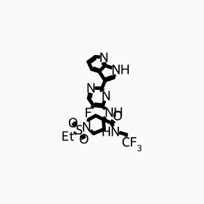 CCS(=O)(=O)N1CCC(Nc2nc(-c3c[nH]c4ncccc34)ncc2F)(C(=O)NCC(F)(F)F)CC1